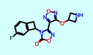 O=c1onc(-c2nonc2OC2CNC2)n1C1Cc2ccc(F)cc21